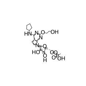 CP(=O)(O)OOC[C@H]1O[C@@H](n2ccc3c(NC4CCCC4)nc(OCCO)nc32)[C@H](O)[C@@H]1O